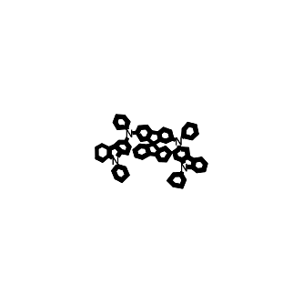 C1=Cc2c(c3cc(N(c4ccccc4)c4ccc5c(c4)C4(c6ccccc6-c6ccccc64)c4cc(N(c6ccccc6)c6ccc7c(c6)c6ccccc6n7-c6ccccc6)ccc4-5)ccc3n2-c2ccccc2)CC1